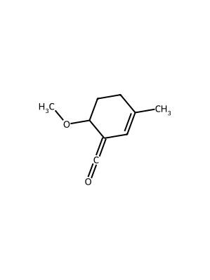 COC1CCC(C)=CC1=C=O